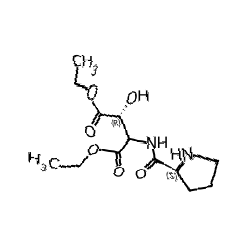 CCOC(=O)C(NC(=O)[C@@H]1CCCN1)[C@@H](O)C(=O)OCC